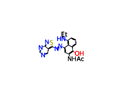 CCNc1cccc2c(O)c(NC(C)=O)cc(/N=N/c3snc4ncncc34)c12